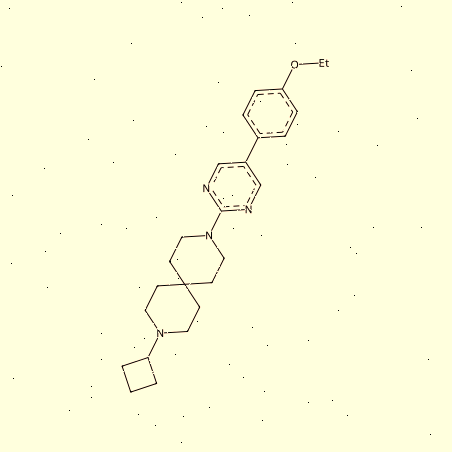 CCOc1ccc(-c2cnc(N3CCC4(CC3)CCN(C3CCC3)CC4)nc2)cc1